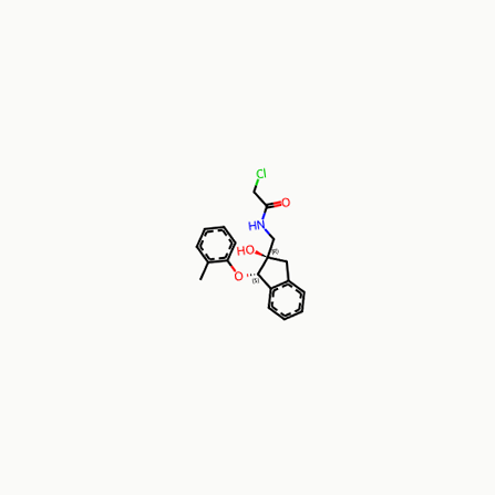 Cc1ccccc1O[C@H]1c2ccccc2C[C@@]1(O)CNC(=O)CCl